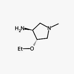 CCO[C@H]1CN(C)C[C@@H]1N